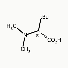 CN(C)[C@@H](C(=O)O)C(C)(C)C